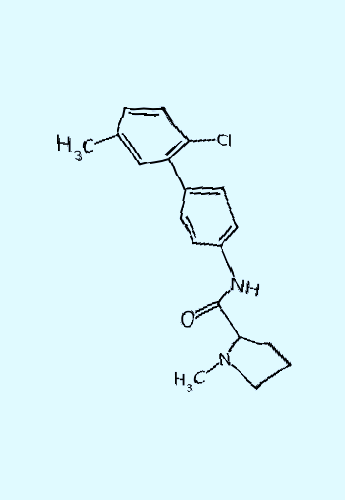 Cc1ccc(Cl)c(-c2ccc(NC(=O)C3CCCN3C)cc2)c1